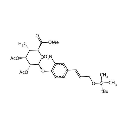 COC(=O)[C@H]1O[C@@H](Oc2ccc(/C=C/CO[Si](C)(C)C(C)(C)C)cc2[N+](=O)[O-])[C@H](OC(C)=O)[C@@H](OC(C)=O)[C@@H]1C